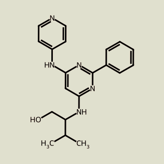 CC(C)C(CO)Nc1cc(Nc2ccncc2)nc(-c2ccccc2)n1